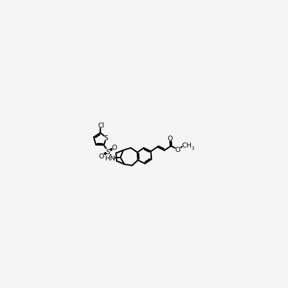 COC(=O)/C=C/c1ccc2c(c1)CC1CCC(C2)C1NS(=O)(=O)c1ccc(Cl)s1